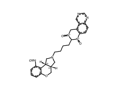 COc1cccc2c1[C@@H]1CN(CCCCC3[N+](=O)Cc4c(ccc5ncncc45)[N+]3=O)C[C@@H]1CO2